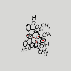 CCC[C@@H]1O[C@@H](CC(=O)O)CC2(SC34C[C@@H](CC(=O)O)O[C@H](CCC)[C@]3(O)C(=O)c3c(O)cccc3C4=O)C(=O)c3cccc(O)c3C(=O)[C@]12O